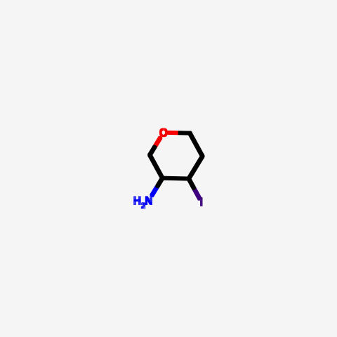 NC1COCCC1I